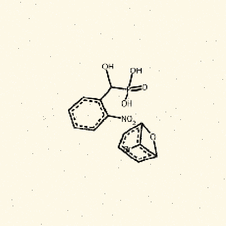 Brc1c2cccc1O2.O=[N+]([O-])c1ccccc1C(O)P(=O)(O)O